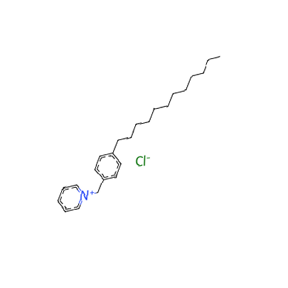 CCCCCCCCCCCCc1ccc(C[n+]2ccccc2)cc1.[Cl-]